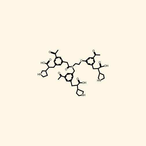 CC(=O)c1cc(CC(=O)N(CCOc2cc(CC(C(=O)O)C3CCNC3)cc(C(C)=O)c2)Cc2cc(CC(C(=O)O)C3CCNC3)cc(C(C)=O)c2)cc(CC(C(=O)O)C2CCNC2)c1